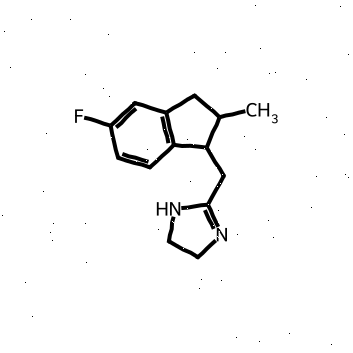 CC1Cc2cc(F)ccc2C1CC1=NCCN1